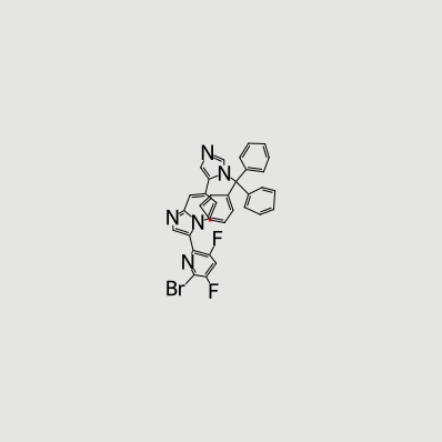 Fc1cc(F)c(-c2cnc3cc(-c4cncn4C(c4ccccc4)(c4ccccc4)c4ccccc4)ccn23)nc1Br